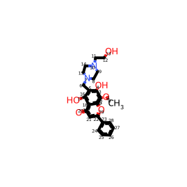 COc1c(O)c(CN2CCN(CCO)CC2)c(O)c2c(=O)cc(-c3ccccc3)oc12